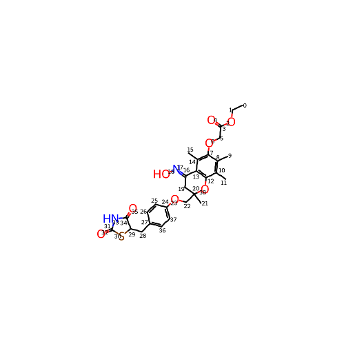 CCOC(=O)COc1c(C)c(C)c2c(c1C)C(=NO)CC(C)(COc1ccc(CC3SC(=O)NC3=O)cc1)O2